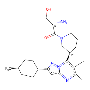 Cc1nc2cc([C@H]3CC[C@H](C(F)(F)F)CC3)nn2c([C@@H]2CCCN(C(=O)[C@@H](N)CO)C2)c1C